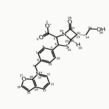 O=C([O-])C1C(c2ccc(C[n+]3cccc4ccoc43)cc2)S[C@@H]2[C@@H](CCO)C(=O)N12